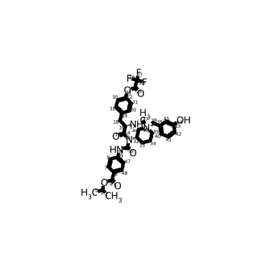 CC(C)OC(=O)c1ccc(NC(=O)N(C(=O)[C@@H](N)Cc2ccc(OC(=O)C(F)(F)F)cc2)[C@H]2CCC[N+](C)(Cc3cccc(O)c3)C2)cc1